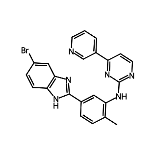 Cc1ccc(-c2nc3cc(Br)ccc3[nH]2)cc1Nc1nccc(-c2cccnc2)n1